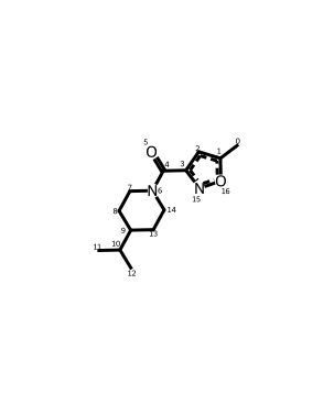 Cc1cc(C(=O)N2CCC(C(C)C)CC2)no1